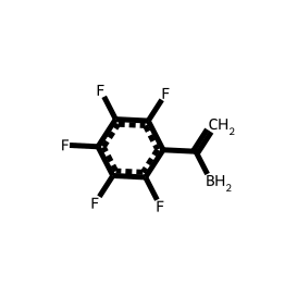 BC(=C)c1c(F)c(F)c(F)c(F)c1F